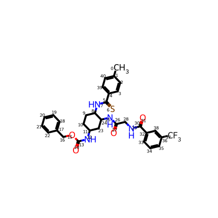 Cc1ccc(C(=S)NC2CCC(NC(=O)OCc3ccccc3)CC2NC(=O)CNC(=O)c2cccc(C(F)(F)F)c2)cc1